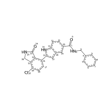 O=C(NCc1ccccc1)c1ccc2[nH]c(-c3ccc(Cl)c4c3C(=O)NC4)cc2c1